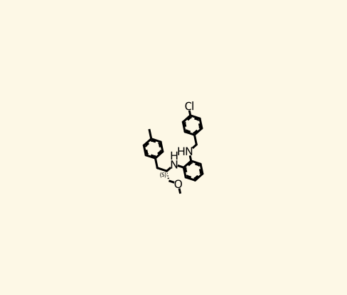 COC[C@H](Cc1ccc(C)cc1)Nc1ccccc1NCc1ccc(Cl)cc1